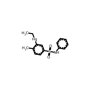 C[CH2][Hg][c]1cc(S(=O)(=O)Nc2ccccc2)ccc1C